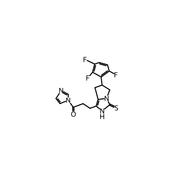 O=C(CCc1[nH]c(=S)n2c1CC(c1c(F)ccc(F)c1F)C2)n1ccnc1